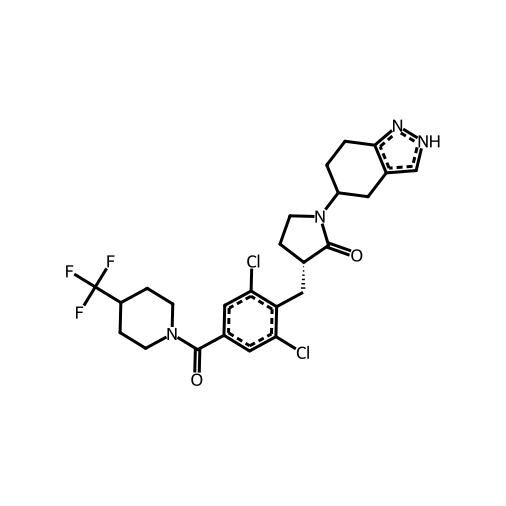 O=C(c1cc(Cl)c(C[C@@H]2CCN(C3CCc4n[nH]cc4C3)C2=O)c(Cl)c1)N1CCC(C(F)(F)F)CC1